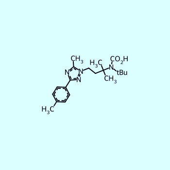 Cc1ccc(-c2nc(C)n(CCC(C)(C)N(C(=O)O)C(C)(C)C)n2)cc1